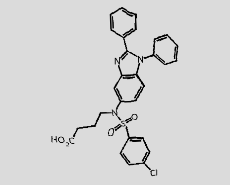 O=C(O)CCCN(c1ccc2c(c1)nc(-c1ccccc1)n2-c1ccccc1)S(=O)(=O)c1ccc(Cl)cc1